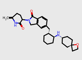 C=C1CCC(N2Cc3cc(C[C@H]4CCCC[C@@H]4N[C@H]4CC[C@@]5(CCO5)CC4)ccc3C2=O)C(=O)N1